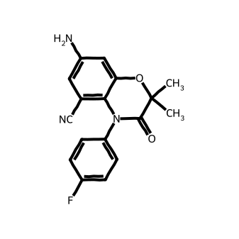 CC1(C)Oc2cc(N)cc(C#N)c2N(c2ccc(F)cc2)C1=O